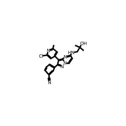 Cc1cc(-c2c(-c3cccc(C#N)c3)nn3ccc(NCC(C)(C)O)nc23)cc(Cl)n1